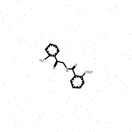 Cc1ccccc1C(=O)CNC(=O)c1ccccc1C(=O)O